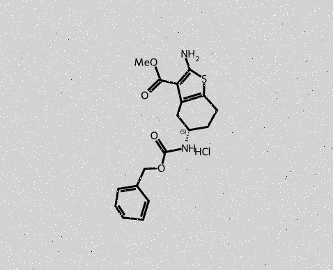 COC(=O)c1c(N)sc2c1C[C@@H](NC(=O)OCc1ccccc1)CC2.Cl